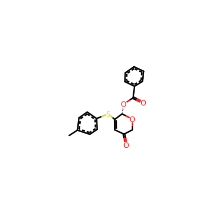 Cc1ccc(SC2=CC(=O)CO[C@H]2OC(=O)c2ccccc2)cc1